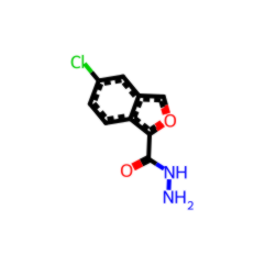 NNC(=O)c1occ2cc(Cl)ccc12